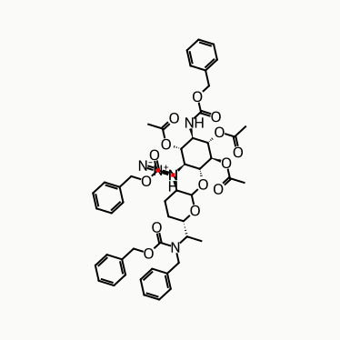 CC(=O)O[C@@H]1[C@@H](NC(=O)OCc2ccccc2)[C@H](OC(C)=O)[C@@H](OC(C)=O)[C@H](OC2O[C@H](C(C)N(Cc3ccccc3)C(=O)OCc3ccccc3)CC[C@H]2N=[N+]=[N-])[C@H]1NC(=O)OCc1ccccc1